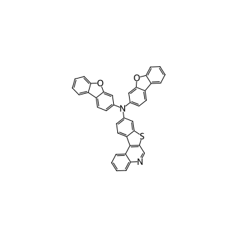 c1ccc2c(c1)ncc1sc3cc(N(c4ccc5c(c4)oc4ccccc45)c4ccc5c(c4)oc4ccccc45)ccc3c12